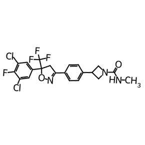 CNC(=O)N1CC(c2ccc(C3=NOC(c4cc(Cl)c(F)c(Cl)c4)(C(F)(F)F)C3)cc2)C1